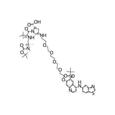 C[C@@H](CN[C@H](C(=O)N1C[C@@H](NCCOCCOCCOCCOCCOc2cc3nccc(Nc4ccc5scnc5c4)c3cc2S(=O)(=O)C(C)(C)C)C[C@H]1C(=O)O)C(C)(C)C)N(C)C(=O)OC(C)(C)C